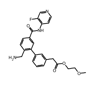 COCCOC(=O)Cc1cccc(-c2cc(C(=O)Nc3ccncc3F)ccc2CN)c1